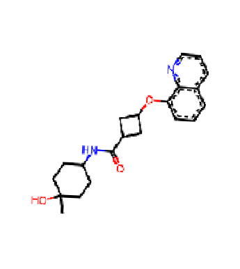 CC1(O)CCC(NC(=O)C2CC(Oc3cccc4cccnc34)C2)CC1